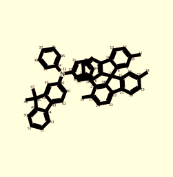 Cc1ccc2c(c1)C1(c3cc(C)ccc3-2)c2cc(C)ccc2-c2ccc(C)c(-c3cccc(N(c4ccccc4)c4ccc5c(c4)C(C)(C)c4ccccc4-5)c3)c21